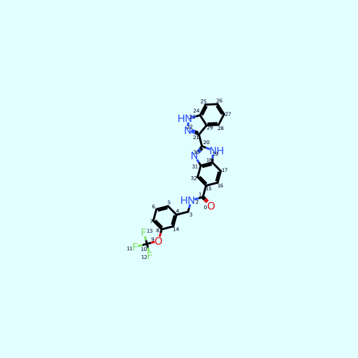 O=C(NCc1cccc(OC(F)(F)F)c1)c1ccc2[nH]c(-c3n[nH]c4ccccc34)nc2c1